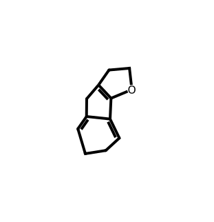 C1=C2CC3=C(OCC3)C2=CCC1